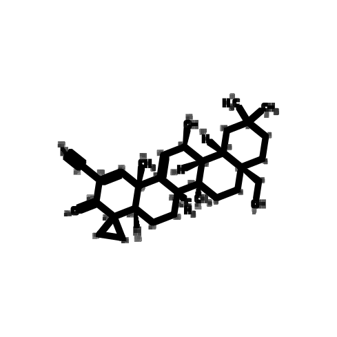 CC1(C)CC[C@]2(CO)CC[C@]3(C)[C@H]([C@H](O)C=C4[C@@]5(C)C=C(C#N)C(=O)C6(CC6)[C@@H]5CC[C@]43C)[C@@H]2C1